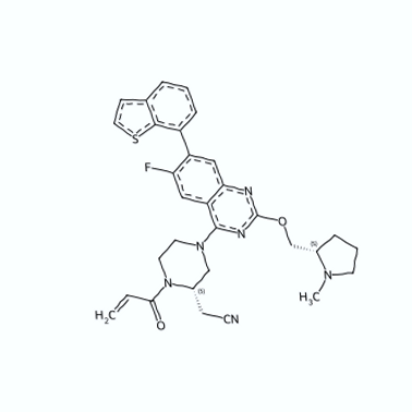 C=CC(=O)N1CCN(c2nc(OC[C@@H]3CCCN3C)nc3cc(-c4cccc5ccsc45)c(F)cc23)C[C@@H]1CC#N